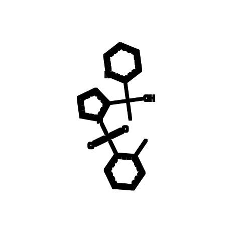 Cc1ccccc1S(=O)(=O)n1cccc1C(C)(O)c1ccccn1